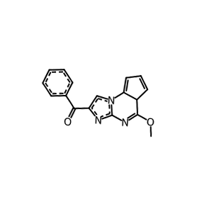 COC1=Nc2nc(C(=O)c3ccccc3)cn2C2=CC=CC21